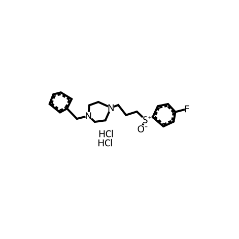 Cl.Cl.[O-][S+](CCCN1CCN(Cc2ccccc2)CC1)c1ccc(F)cc1